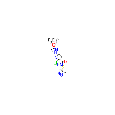 Cc1c(SNC(=O)c2ccc(-n3ccc(OCC4(C(F)(F)F)CC4)n3)nc2Cl)cnn1C